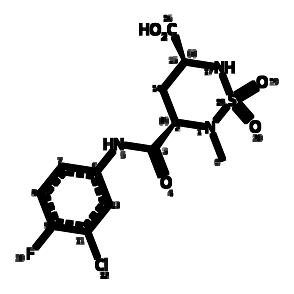 CN1[C@@H](C(=O)Nc2ccc(F)c(Cl)c2)C[C@@H](C(=O)O)NS1(=O)=O